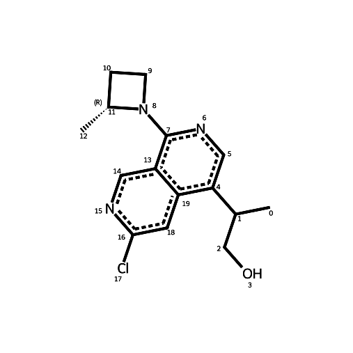 CC(CO)c1cnc(N2CC[C@H]2C)c2cnc(Cl)cc12